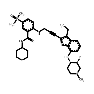 CN1CC[C@@H](Nc2cccc3c(CC(F)(F)F)c(C#CCNc4ccc(P(C)(C)=O)cc4C(=O)NC4CCOCC4)sc23)[C@@H](F)C1